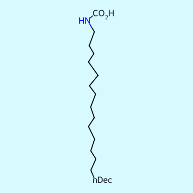 CCCCCCCCCCCCCCCCCCCCCCCCNC(=O)O